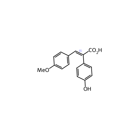 COc1ccc(/C=C(/C(=O)O)c2ccc(O)cc2)cc1